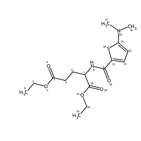 CCOC(=O)CCC(NC(=O)c1ccc(N(C)C)s1)C(=O)OCC